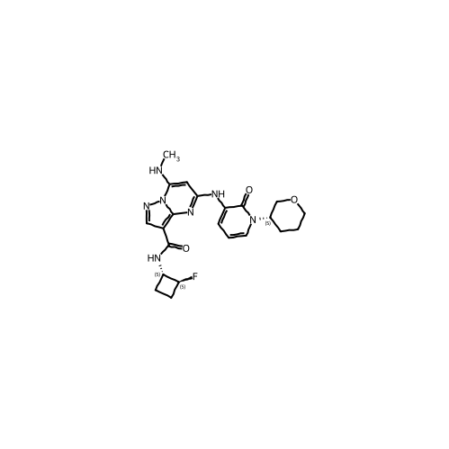 CNc1cc(Nc2cccn([C@H]3CCCOC3)c2=O)nc2c(C(=O)N[C@H]3CC[C@@H]3F)cnn12